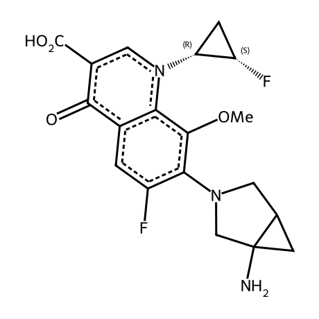 COc1c(N2CC3CC3(N)C2)c(F)cc2c(=O)c(C(=O)O)cn([C@@H]3C[C@@H]3F)c12